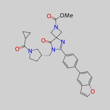 COC(=O)N1CC2(C1)N=C(c1ccc(-c3ccc4occc4c3)cc1)N(C[C@@H]1CCN(C(=O)C3CC3)C1)C2=O